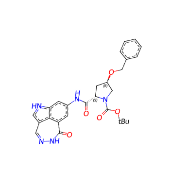 CC(C)(C)OC(=O)N1C[C@H](OCc2ccccc2)C[C@H]1C(=O)Nc1cc2c3c(c[nH]c3c1)C=NNC2=O